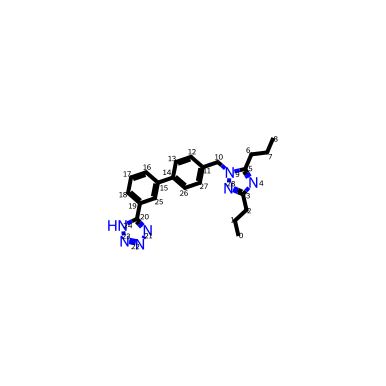 CCCc1nc(CCC)n(Cc2ccc(-c3cccc(-c4nnn[nH]4)c3)cc2)n1